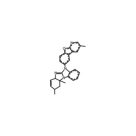 Cc1cnc2oc3ccc(N4C5=NC6C=CC(C)CC6(C)N5c5ccccc54)cc3c2c1